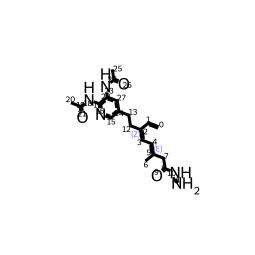 C=C/C(=C\C=C(/C)CC(=O)NN)CCc1cnc(NC(C)=O)c(NC(C)=O)c1